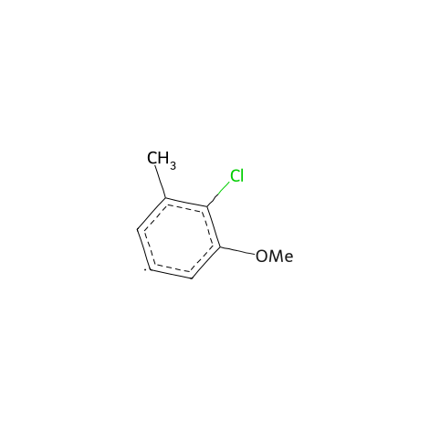 COc1c[c]cc(C)c1Cl